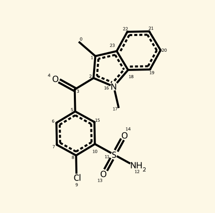 Cc1c(C(=O)c2ccc(Cl)c(S(N)(=O)=O)c2)n(C)c2ccccc12